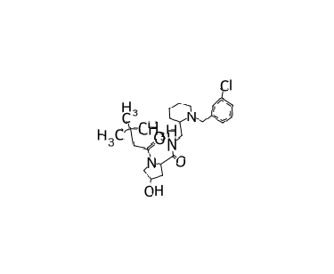 CC(C)(C)CC(=O)N1CC(O)CC1C(=O)NCC1CCCCN1Cc1cccc(Cl)c1